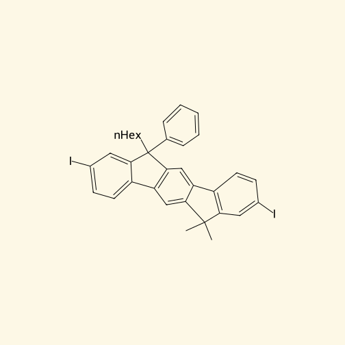 CCCCCCC1(c2ccccc2)c2cc(I)ccc2-c2cc3c(cc21)-c1ccc(I)cc1C3(C)C